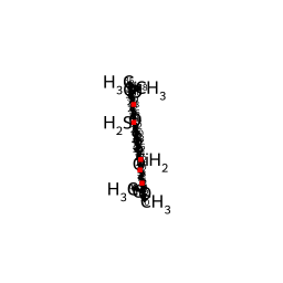 CCOC(CCCCCCCO[SiH2]CCCSSSSCCC[SiH2]OCCCCCCCC(OCC)OCC)OCC